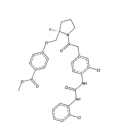 COC(=O)c1ccc(OC[C@@]2(F)CCCN2C(=O)Cc2ccc(NC(=O)Nc3ccccc3Cl)c(Cl)c2)cc1